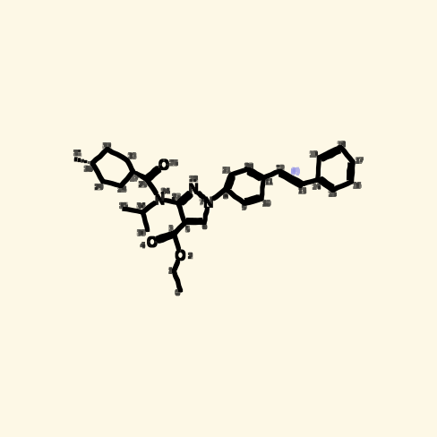 CCOC(=O)c1cn(-c2ccc(/C=C/c3ccccc3)cc2)nc1N(C(=O)[C@H]1CC[C@H](C)CC1)C(C)C